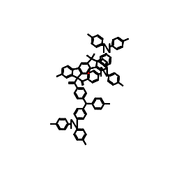 C=C(c1ccc(C(c2ccc(C)cc2)c2ccc(N(c3ccc(C)cc3)c3ccc(C)cc3)cc2)cc1)C1(C(=C)c2ccc(N(c3ccc(C)cc3)c3ccc(N(c4ccc(C)cc4)c4ccc(C)cc4)cc3)cc2)c2cc(C)ccc2-c2cc3c(cc21)-c1ccccc1C3(C)C